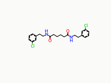 O=C(CCCCC(=O)NCCc1cccc(Cl)c1)NCCc1cccc(Cl)c1